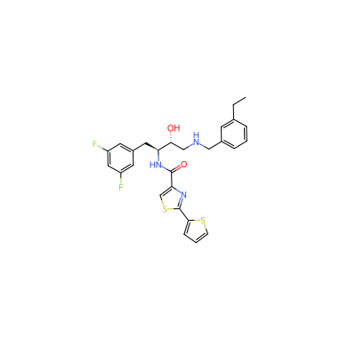 CCc1cccc(CNC[C@@H](O)[C@H](Cc2cc(F)cc(F)c2)NC(=O)c2csc(-c3cccs3)n2)c1